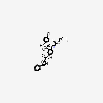 CCOC(=O)/C=C/c1ccc(NC(=O)c2ncc(-c3ccccc3)o2)cc1S(=O)(=O)Nc1ccc(Cl)cc1